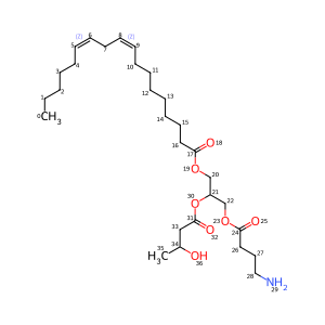 CCCCC/C=C\C/C=C\CCCCCCCC(=O)OCC(COC(=O)CCCN)OC(=O)CC(C)O